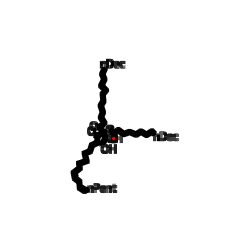 CCCCC/C=C\C/C=C\CCCCCCCC(=O)C(OC(=O)CCCCCCCCCCCCCCCCC)(C(=O)CCCCCCCCCCCCCCCCCCCCC)C(O)CO